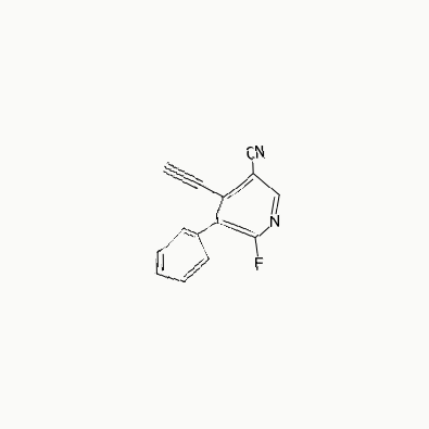 C#Cc1c(C#N)cnc(F)c1-c1ccccc1